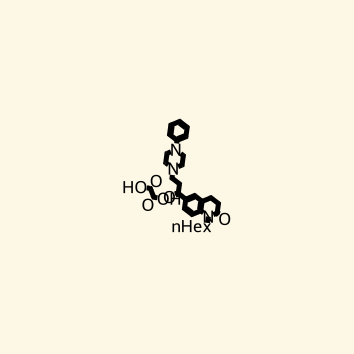 CCCCCCN1C(=O)CCc2cc(C(=O)CCN3CCN(c4ccccc4)CC3)ccc21.O=C(O)C(=O)O